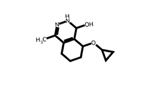 CC1=NNC(O)C2=C1CCCC2OC1CC1